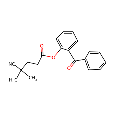 CC(C)(C#N)CCC(=O)Oc1ccccc1C(=O)c1ccccc1